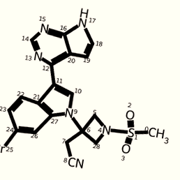 CS(=O)(=O)N1CC(CC#N)(n2cc(-c3ncnc4[nH]ccc34)c3ccc(Br)cc32)C1